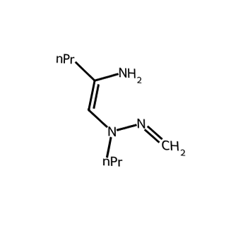 C=NN(/C=C(\N)CCC)CCC